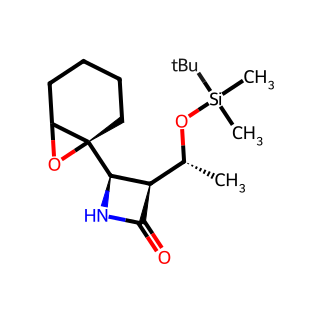 C[C@@H](O[Si](C)(C)C(C)(C)C)[C@H]1C(=O)N[C@H]1[C@@]12CCCCC1O2